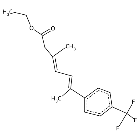 CCOC(=O)C/C(C)=C/C=C(\C)c1ccc(C(F)(F)F)cc1